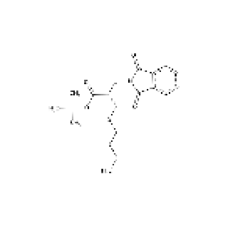 CCCCOC[C@@H](ON1C(=O)c2ccccc2C1=O)C(=O)OC(C)(C)C